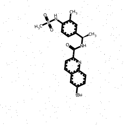 Cc1cc([C@@H](C)NC(=O)c2ccc3cc(C(C)(C)C)ccc3n2)ccc1NS(C)(=O)=O